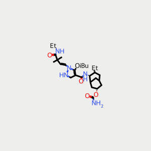 CCNC(=O)C(C)(C)/C=C/N1NCC(C(=O)N[C@@H]2C(CC)CC3CC2C[C@@H](OC(N)=O)C3)=C1OCC(C)C